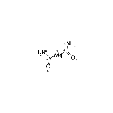 N[C](=O)[Mg][C](N)=O